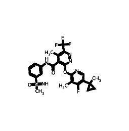 Cc1c(Oc2nnc(C(F)(F)F)c(C)c2C(=O)Nc2cccc(S(C)(=N)=O)c2)ncc(C2(C)CC2)c1F